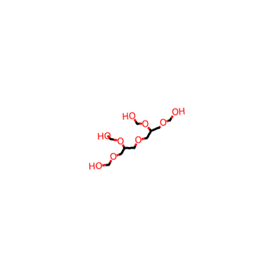 OCOCC(COCC(COCO)OCO)OCO